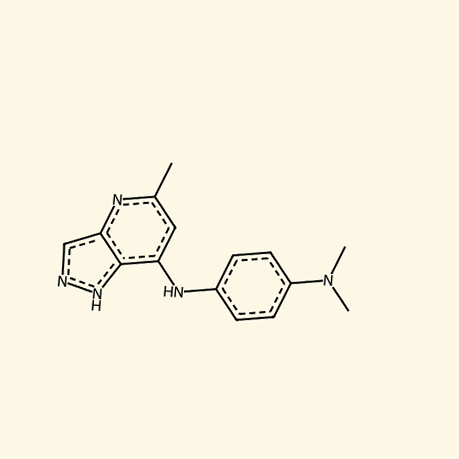 Cc1cc(Nc2ccc(N(C)C)cc2)c2[nH]ncc2n1